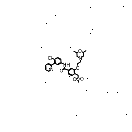 CC1CN(CCOc2cc(C(=O)Nc3ccc(Cl)c(-c4ccccn4)c3)ccc2CS(C)(=O)=O)CC(C)O1